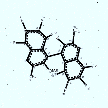 COc1c(C(F)(F)F)cc2c(F)c(F)c(F)c(F)c2c1-c1c(C)c(C(F)(F)F)cc2c(F)c(F)c(F)c(F)c12